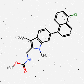 CCOC(=O)c1c(CNC(=O)OC(C)(C)C)n(C)c2cc(-c3cccc4c(Cl)cccc34)ccc12